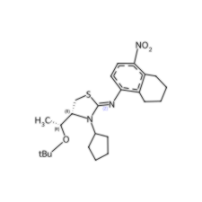 C[C@@H](OC(C)(C)C)[C@@H]1CS/C(=N\c2ccc([N+](=O)[O-])c3c2CCCC3)N1C1CCCC1